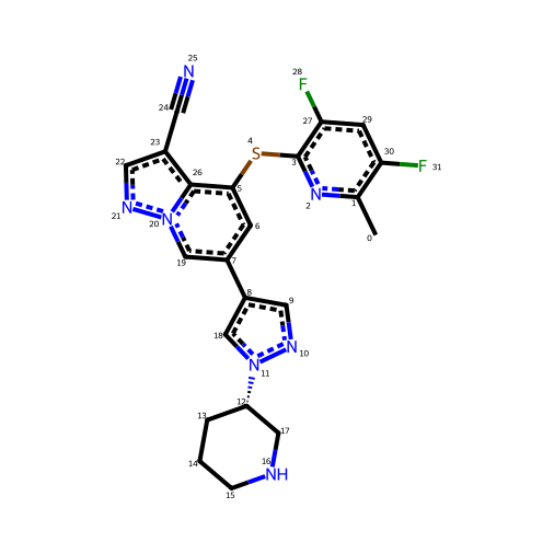 Cc1nc(Sc2cc(-c3cnn([C@H]4CCCNC4)c3)cn3ncc(C#N)c23)c(F)cc1F